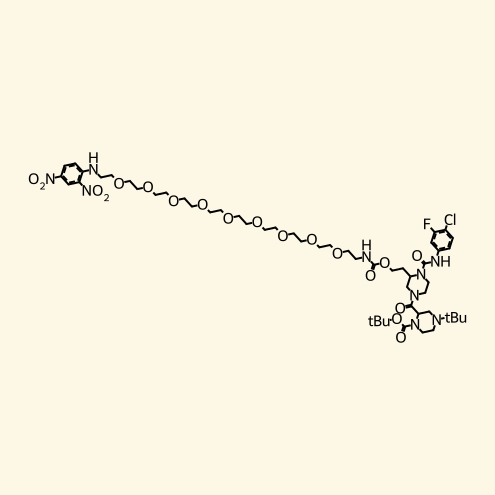 CC(C)(C)OC(=O)N1CCN(C(C)(C)C)CC1C(=O)N1CCN(C(=O)Nc2ccc(Cl)c(F)c2)C(CCOC(=O)NCCOCCOCCOCCOCCOCCOCCOCCOCCOCCNc2ccc([N+](=O)[O-])cc2[N+](=O)[O-])C1